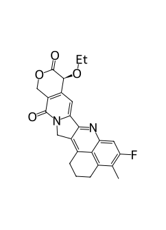 CCO[C@@H]1C(=O)OCc2c1cc1n(c2=O)Cc2c-1nc1cc(F)c(C)c3c1c2CCC3